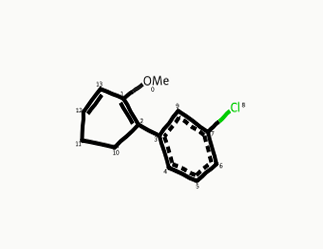 COC1=C(c2cccc(Cl)c2)[CH]CC=C1